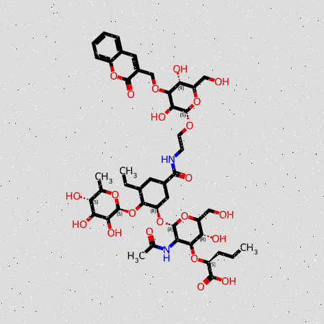 CCC[C@H](OC1C(NC(C)=O)[C@H](O[C@@H]2CC(C(=O)NCCO[C@H]3OC(CO)[C@@H](O)C(OCc4cc5ccccc5oc4=O)C3O)CC(CC)C2O[C@@H]2OC(C)[C@@H](O)C(O)C2O)OC(CO)[C@@H]1O)C(=O)O